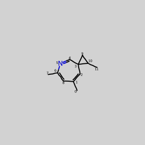 CC1=CC2(C=NC(C)=C1)CC2C